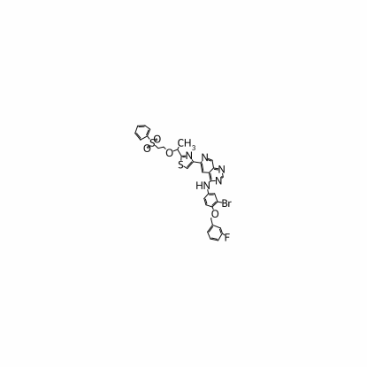 CC(OCCS(=O)(=O)c1ccccc1)c1nc(-c2cc3c(Nc4ccc(OCc5cccc(F)c5)c(Br)c4)ncnc3cn2)cs1